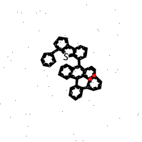 c1ccc(-c2ccccc2-c2c3ccccc3c(-c3cccc4c3sc3c(-c5ccccc5)cccc34)c3ccccc23)cc1